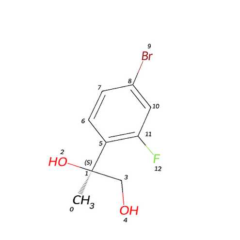 C[C@@](O)(CO)c1ccc(Br)cc1F